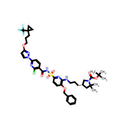 CC(C)(C)OC(=O)N1C[C@@H](CCCNc2nc(S(=O)(=O)NC(=O)c3ccc(-n4ccc(OCCCC5(C(F)(F)F)CC5)n4)nc3Cl)ccc2OCc2ccccc2)CC1(C)C